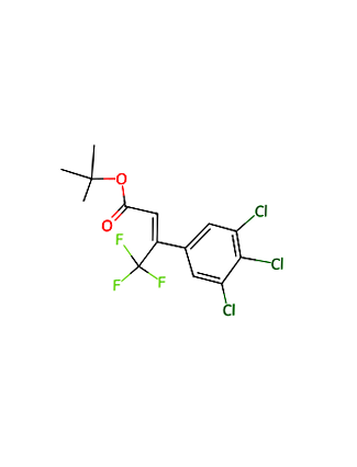 CC(C)(C)OC(=O)C=C(c1cc(Cl)c(Cl)c(Cl)c1)C(F)(F)F